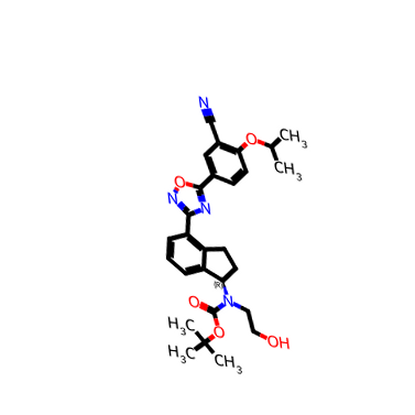 CC(C)Oc1ccc(-c2nc(-c3cccc4c3CC[C@H]4N(CCO)C(=O)OC(C)(C)C)no2)cc1C#N